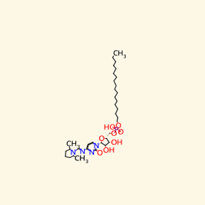 CCCCCCCCCCCCCCCCCCOP(=O)(O)OC[C@H]1O[C@@H](n2ccc(/N=C/N3C(C)CCCC3C)nc2=O)C(O)[C@H]1O